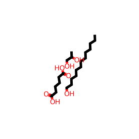 CC(O)CO.CCCCCCCCCCCCCO.O=C(O)CCCCC(=O)O